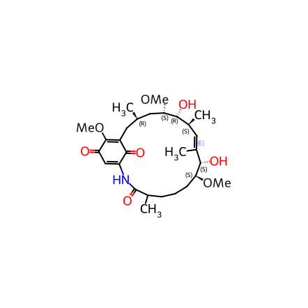 COC1=C2C[C@@H](C)C[C@H](OC)[C@H](O)[C@@H](C)/C=C(\C)[C@H](O)[C@@H](OC)CCCC(C)C(=O)NC(=CC1=O)C2=O